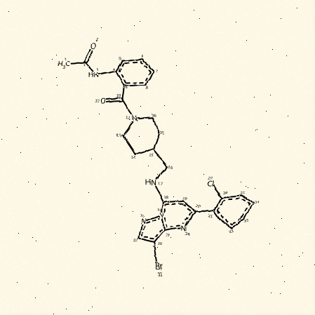 CC(=O)Nc1ccccc1C(=O)N1CCC(CNc2cc(-c3ccccc3Cl)nc3c(Br)cnn23)CC1